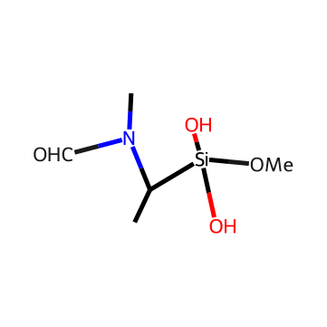 CO[Si](O)(O)C(C)N(C)C=O